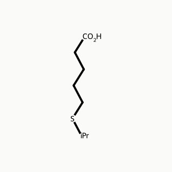 CC(C)SCCCCC(=O)O